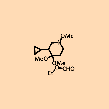 CCOC=O.CON1CCC(OC)(OC)C(C2CC2)C1